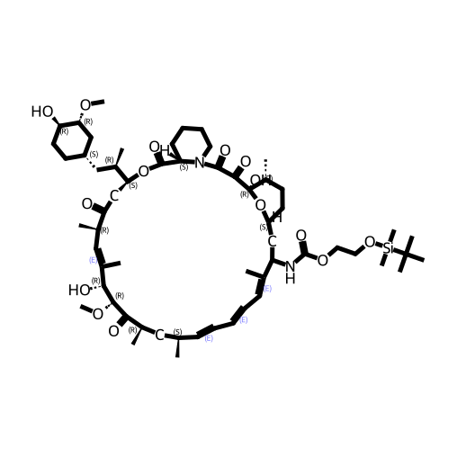 CO[C@@H]1C[C@H](C[C@@H](C)[C@@H]2CC(=O)[C@H](C)/C=C(\C)[C@@H](O)[C@@H](OC)C(=O)[C@H](C)C[C@H](C)/C=C/C=C/C=C(\C)C(NC(=O)OCCO[Si](C)(C)C(C)(C)C)C[C@@H]3CC[C@@H](C)[C@@](O)(O3)C(=O)C(=O)N3CCCC[C@H]3C(=O)O2)CC[C@H]1O